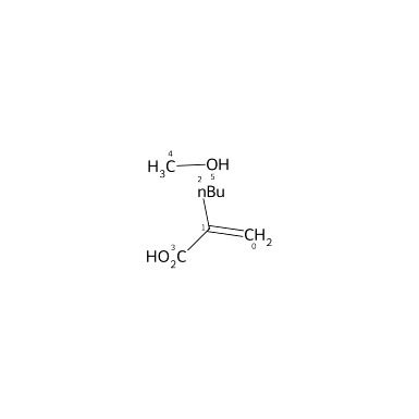 C=C(CCCC)C(=O)O.CO